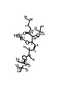 B=BOC(/C=C\C(C)C(C)O[Si](C)(C)C(C)(C)C)C(OC(C)(C)C)C(=O)CCCC